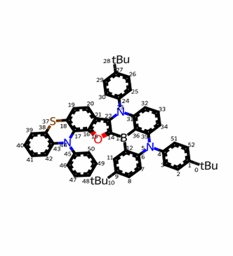 CC(C)(C)c1ccc(N2c3ccc(C(C)(C)C)cc3B3c4oc5c6c(ccc5c4N(c4ccc(C(C)(C)C)cc4)c4cccc2c43)Sc2ccccc2N6c2ccccc2)cc1